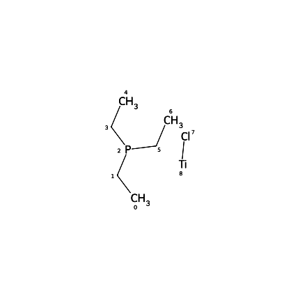 CCP(CC)CC.[Cl][Ti]